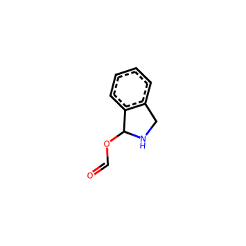 O=COC1NCc2ccccc21